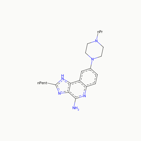 CCCCCc1nc2c(N)nc3ccc(N4CCN(CCC)CC4)cc3c2[nH]1